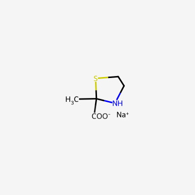 CC1(C(=O)[O-])NCCS1.[Na+]